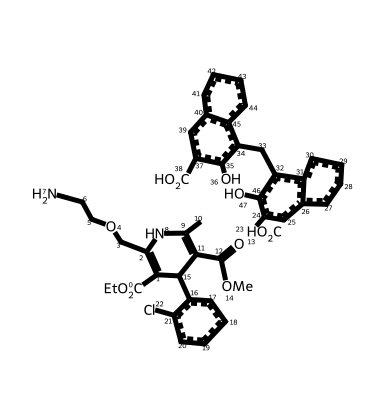 CCOC(=O)C1=C(COCCN)NC(C)=C(C(=O)OC)C1c1ccccc1Cl.O=C(O)c1cc2ccccc2c(Cc2c(O)c(C(=O)O)cc3ccccc23)c1O